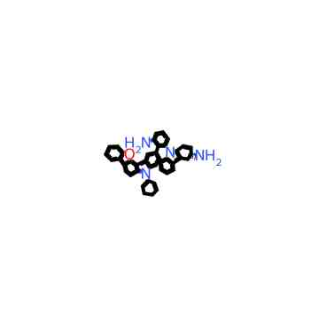 Nc1cccc(-n2c3c(c4ccccc42)C[C@H](N)C=C3)c1-c1ccc2c(c1)c1c3oc4ccccc4c3ccc1n2C1=CCCC=C1